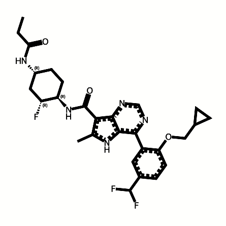 CCC(=O)N[C@@H]1CC[C@@H](NC(=O)c2c(C)[nH]c3c(-c4cc(C(F)F)ccc4OCC4CC4)ncnc23)[C@H](F)C1